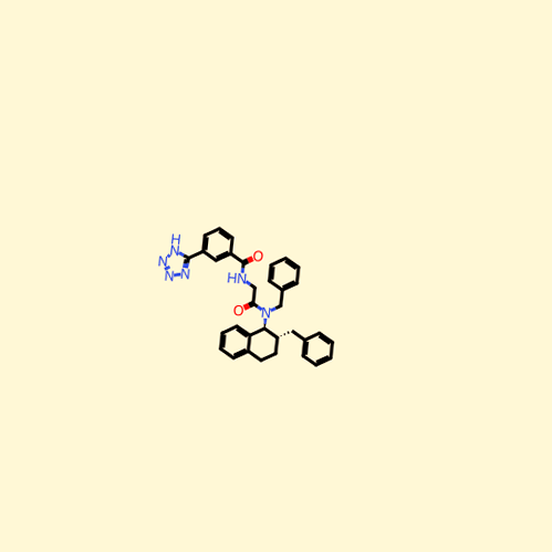 O=C(NCC(=O)N(Cc1ccccc1)[C@@H]1c2ccccc2CC[C@H]1Cc1ccccc1)c1cccc(-c2nnn[nH]2)c1